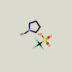 CCCN1CCCC1.O=S(=O)(O)C(F)(F)F